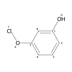 Oc1cccc(OCl)c1